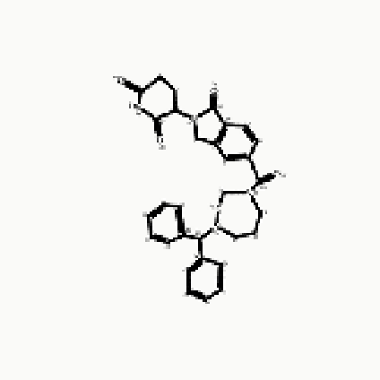 O=C1CCC(N2Cc3cc(C(=O)N4CCCN(C(c5ccccc5)c5ccccc5)CC4)ccc3C2=O)C(=O)N1